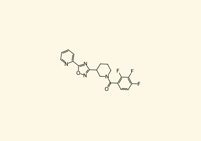 O=C(c1ccc(F)c(F)c1F)N1CCCC(c2noc(-c3ccccn3)n2)C1